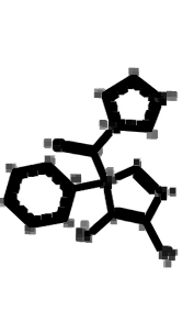 CCC1=C(C(C)C)N=C[N+]1(C(=O)n1ccnc1)c1ccccc1